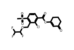 CS(=O)(=O)c1ccc(C(=O)OC2=CC(=O)CCC2)c(Cl)c1COC(F)C(F)F